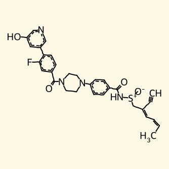 C#C/C(=C\C=C/C)C[S+]([O-])NC(=O)c1ccc(N2CCN(C(=O)c3ccc(-c4cncc(O)c4)c(F)c3)CC2)cc1